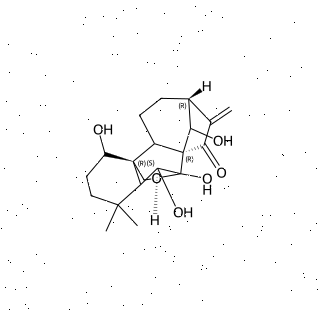 C=C1C(=O)[C@@]23C(O)[C@@H]1CCC2[C@]12COC3(O)[C@@H](O)C1C(C)(C)CCC2O